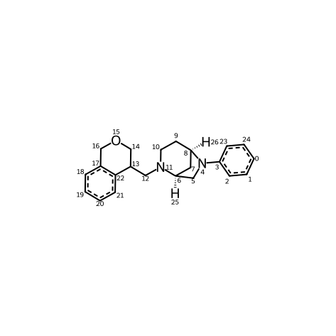 c1ccc(N2C[C@@H]3C[C@H]2CCN3CC2COCc3ccccc32)cc1